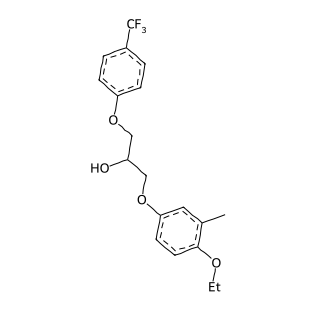 CCOc1ccc(OCC(O)COc2ccc(C(F)(F)F)cc2)cc1C